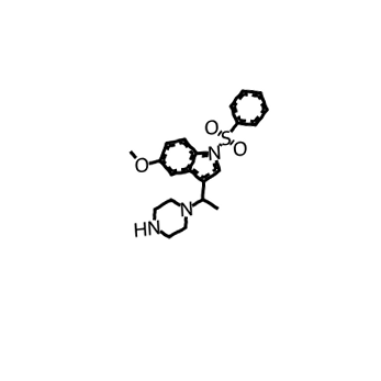 COc1ccc2c(c1)c(C(C)N1CCNCC1)cn2S(=O)(=O)c1ccccc1